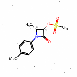 COc1ccc(N2C(=O)[C@@H](OS(=O)(=O)C(F)(F)F)[C@H]2C)cc1